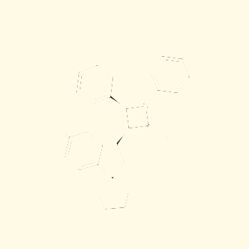 Cc1ccc([C@@H]2[C@H](CCC3(c4ccc(F)cc4)OCCO3)C(=O)N2c2ccc(F)cc2)cc1